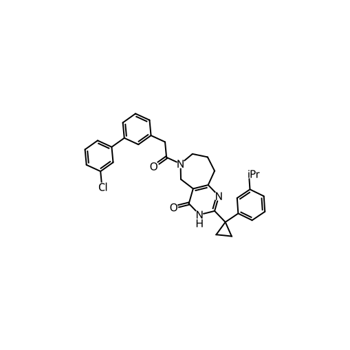 CC(C)c1cccc(C2(c3nc4c(c(=O)[nH]3)CN(C(=O)Cc3cccc(-c5cccc(Cl)c5)c3)CCC4)CC2)c1